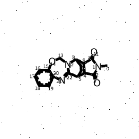 CN1C(=O)C2C3CCC(C2C1=O)N1COc2ccccc2N=C31